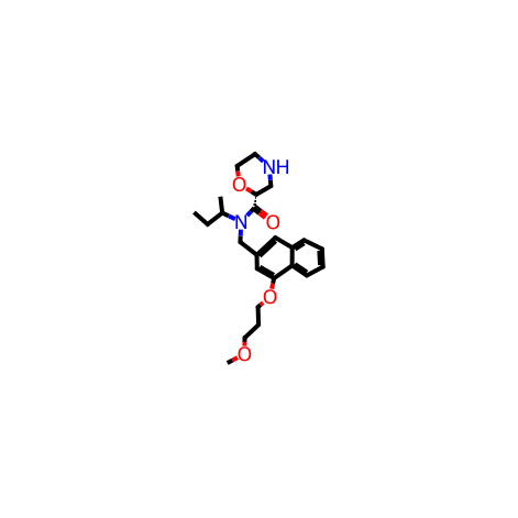 CCC(C)N(Cc1cc(OCCCOC)c2ccccc2c1)C(=O)[C@H]1CNCCO1